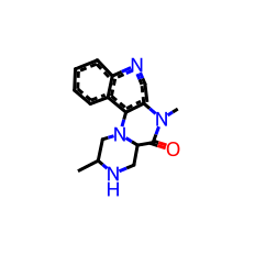 CC1CN2c3c(cnc4ccccc34)N(C)C(=O)C2CN1